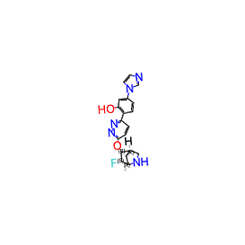 C[C@]12C[C@H](CN1)[C@@H](Oc1ccc(-c3ccc(-n4ccnc4)cc3O)nn1)[C@H]2F